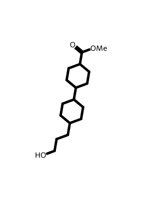 COC(=O)C1CCC(C2CCC(CCCO)CC2)CC1